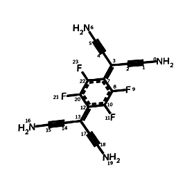 NC#CC(C#CN)=c1c(F)c(F)c(=C(C#CN)C#CN)c(F)c1F